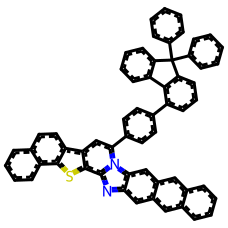 c1ccc(C2(c3ccccc3)c3ccccc3-c3c(-c4ccc(-c5cc6c7ccc8ccccc8c7sc6c6nc7cc8cc9ccccc9cc8cc7n56)cc4)cccc32)cc1